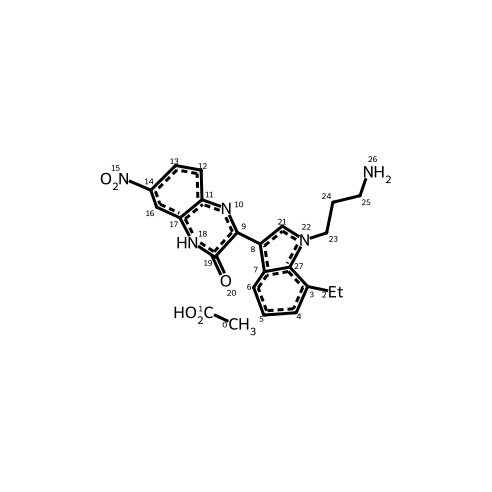 CC(=O)O.CCc1cccc2c(-c3nc4ccc([N+](=O)[O-])cc4[nH]c3=O)cn(CCCN)c12